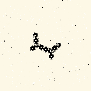 c1ccc(-c2cc(-c3ccc(-c4ccc(-c5cc(-c6ccccc6)nc(-c6ccc(-c7ccccn7)cc6)n5)cc4)cc3)nc(-c3ccc(-c4ccccn4)cc3)n2)cc1